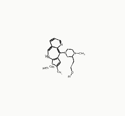 CCOCCC1CN(C2=c3ncccc3=CNc3sc(C)cc32)CCN1C.Cl.Cl